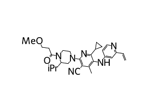 C=Cc1cc(Nc2c(C3CC3)nc(N3CCN(C(=O)CCOC)C(C(C)C)C3)c(C#N)c2C)ccn1